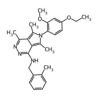 CCOc1ccc(-n2c(C)c3c(C)nnc(NCc4ccccc4C)c3c2C)c(OC)c1